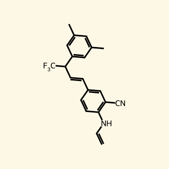 C=CNc1ccc(/C=C/C(c2cc(C)cc(C)c2)C(F)(F)F)cc1C#N